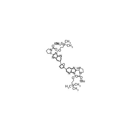 CC(C)(C)OC(=O)N1CCPC1c1nc2cc(-c3ccc(-c4cnc5c(c4)nc([C@@H]4CCCN4C(=O)OC(C)(C)C)n5COCC[Si](C)(C)C)o3)cnc2n1COCC[Si](C)(C)C